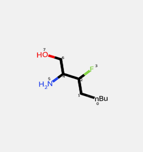 CCCCCC(F)C(N)CO